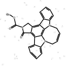 CC(C)(C)OC(=O)N1Cc2c(c3c4ccccc4n4c3c3c2c2ccccc2n3C/C=C\C4)C1=O